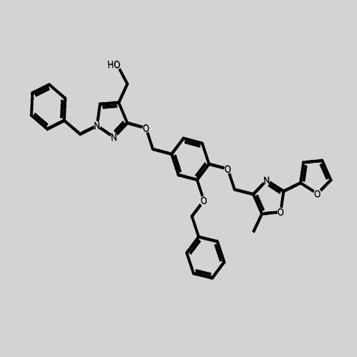 Cc1oc(-c2ccco2)nc1COc1ccc(COc2nn(Cc3ccccc3)cc2CO)cc1OCc1ccccc1